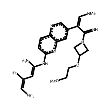 CN/C=C(\C(=N)N1CC(OCCOC)C1)c1cnc2ccc(N/C(N)=C/C(=C\N)C(C)C)nc2c1